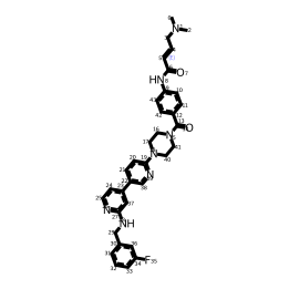 CN(C)C/C=C/C(=O)Nc1ccc(C(=O)N2CCN(c3ccc(-c4ccnc(NCc5cccc(F)c5)c4)cn3)CC2)cc1